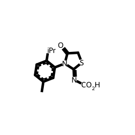 Cc1ccc(C(C)C)c(N2C(=O)CSC2=NC(=O)O)c1